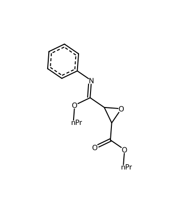 CCCOC(=O)C1OC1C(=Nc1ccccc1)OCCC